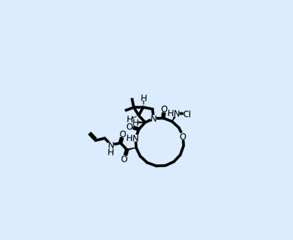 C=CCNC(=O)C(=O)[C@@H]1CCCCCCCOC[C@H](NCl)C(=O)N2C[C@H]3[C@@H]([C@H]2C(=O)N1)C3(C)C